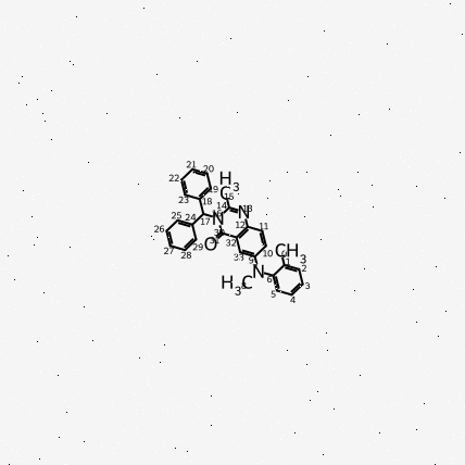 Cc1ccccc1N(C)c1ccc2nc(C)n(C(c3ccccc3)c3ccccc3)c(=O)c2c1